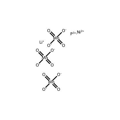 [Li+].[Ni+2].[O]=[Mn](=[O])([O-])[O-].[O]=[Mn](=[O])([O-])[O-].[O]=[Mn](=[O])([O-])[O-].[P+3]